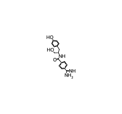 N=C(N)c1ccc(C(=O)N[C@@H](CO)Cc2ccc(O)cc2)cc1